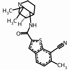 Cc1ccc2cc(C(=O)N[C@@H]3C4CCN(CC4)C3(C)C)sc2c1C#N